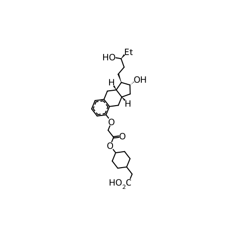 CC[C@H](O)CC[C@@H]1[C@H]2Cc3cccc(OCC(=O)OC4CCC(CC(=O)O)CC4)c3C[C@H]2C[C@H]1O